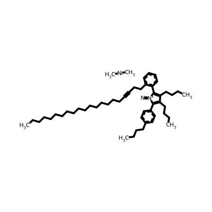 CCCCCCCCCCCCCCCCCC#CCCc1ccccc1C1=C(CCCC)C(CCCC)=C(c2ccc(CCCC)cc2)[N+]1=[N-].[CH3][Ni][CH3]